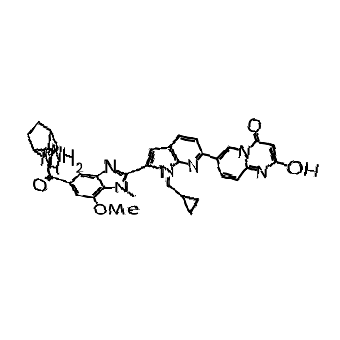 COc1cc(C(=O)N2CC3CCC2[C@@H]3N)cc2nc(-c3cc4ccc(-c5ccc6nc(O)cc(=O)n6c5)nc4n3CC3CC3)n(C)c12